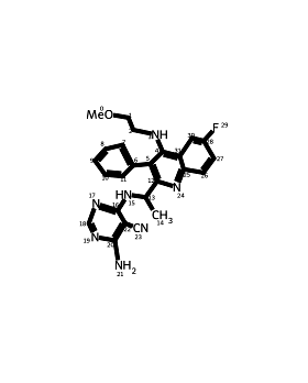 COCCNc1c(-c2ccccc2)c(C(C)Nc2ncnc(N)c2C#N)nc2ccc(F)cc12